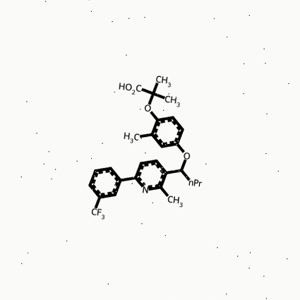 CCCC(Oc1ccc(OC(C)(C)C(=O)O)c(C)c1)c1ccc(-c2cccc(C(F)(F)F)c2)nc1C